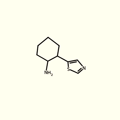 NC1CCCCC1c1cncs1